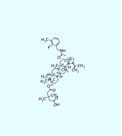 C=C(C)[C@@H]1CC[C@]2(CC(=O)NCc3cccc(C)c3F)CC[C@]3(C)[C@H](CC[C@@H]4[C@@]5(C)CC[C@H](OC(=O)CC(C)(C)CC(=O)O)C(C)(C)[C@@H]5CC[C@]43C)[C@@H]12